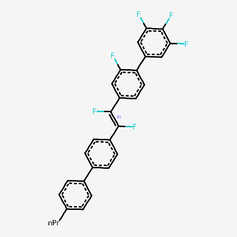 CCCc1ccc(-c2ccc(/C(F)=C(\F)c3ccc(-c4cc(F)c(F)c(F)c4)c(F)c3)cc2)cc1